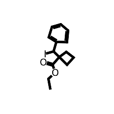 CCOC(=O)C1(C(I)c2ccccc2)CCC1